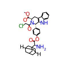 COC(=O)[C@H]1Cc2c([nH]c3ccccc23)[C@H](c2ccc(OC(=O)[C@@H](N)C34CC5C[C@H](C3)C[C@@H](C5)C4)cc2)N1C(=O)CCl